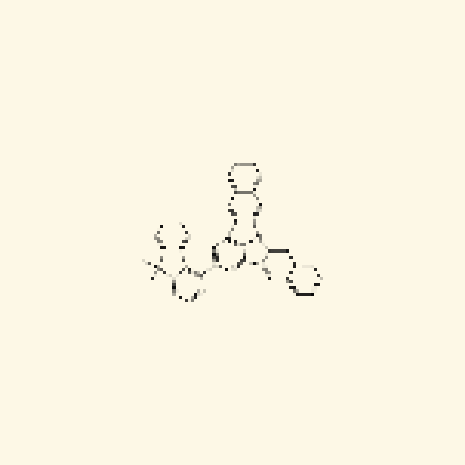 CC1(C)c2ccccc2-c2c(-c3cc4c5cc6ccccc6cc5n5c6cc7ccccc7cc6c(c3)c45)cccc21